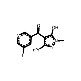 CCCc1nn(C)c(O)c1C(=O)c1cncc(F)c1